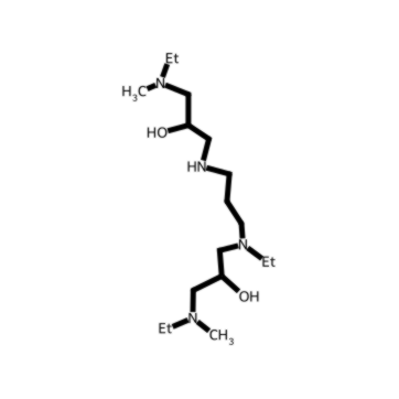 CCN(C)CC(O)CNCCCN(CC)CC(O)CN(C)CC